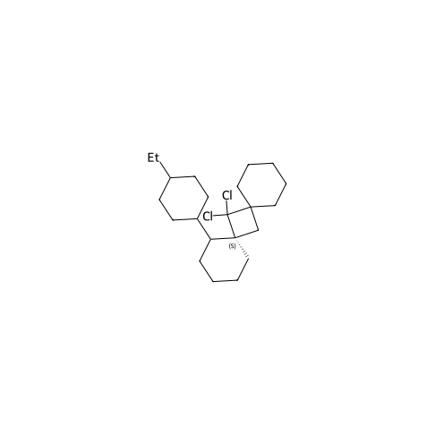 CCC1CCC(C2CCCC[C@]23CC2(CCCCC2)C3(Cl)Cl)CC1